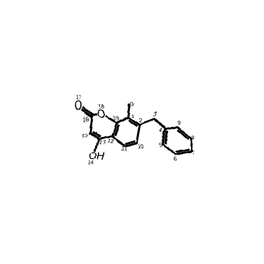 Cc1c(Cc2ccccc2)ccc2c(O)cc(=O)oc12